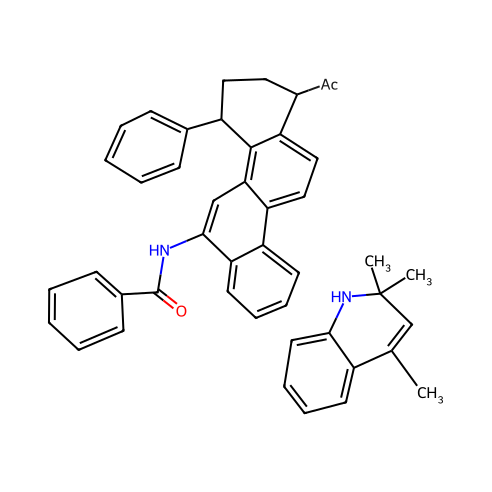 CC(=O)C1CCC(c2ccccc2)c2c1ccc1c2cc(NC(=O)c2ccccc2)c2ccccc21.CC1=CC(C)(C)Nc2ccccc21